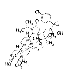 CC(C)C1=C2[C@H]3CC[C@@H]4[C@@]5(C)CC[C@H](O)C(C)(C)[C@@H]5CC[C@@]4(C)[C@]3(C)CC[C@]2(C(CN(C(=O)O)C2(c3ccc(Cl)cc3)CC2)C(C)(C)C)CC1=O